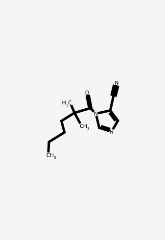 CCCCC(C)(C)C(=O)n1cncc1C#N